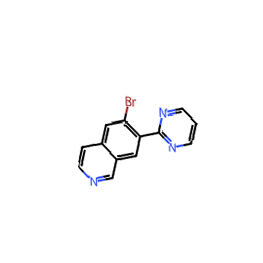 Brc1cc2ccncc2cc1-c1ncccn1